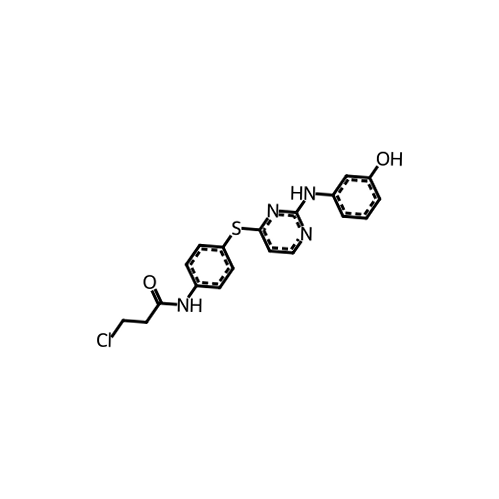 O=C(CCCl)Nc1ccc(Sc2ccnc(Nc3cccc(O)c3)n2)cc1